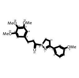 COc1cccc(C2=NN(C(=O)CCc3cc(OC)c(OC)c(OC)c3)CC2)c1